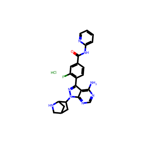 Cl.Nc1ncnc2c1c(-c1ccc(C(=O)Nc3ccccn3)cc1F)nn2C1CC2CNC1C2